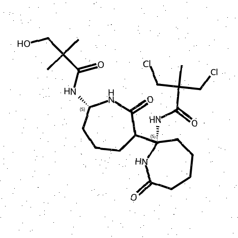 CC(C)(CO)C(=O)N[C@H]1CCCC([C@@]2(NC(=O)C(C)(CCl)CCl)CCCCC(=O)N2)C(=O)N1